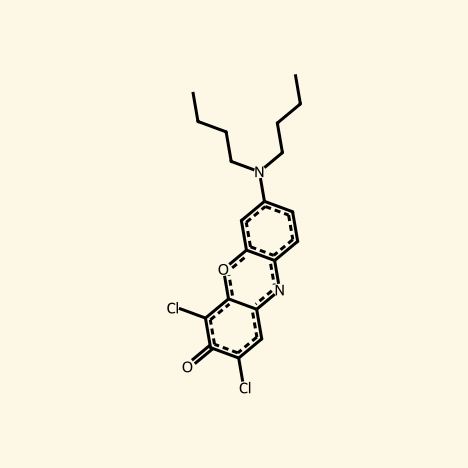 CCCCN(CCCC)c1ccc2nc3cc(Cl)c(=O)c(Cl)c-3oc2c1